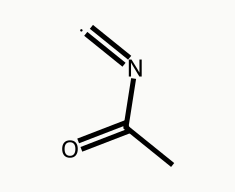 [CH]=NC(C)=O